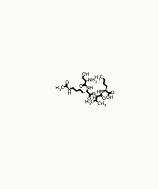 CCCC[C@H](NC(=O)[C@@H](NC(=O)[C@H](CCCCNC(C)=O)NC(=O)[C@@H](N)CO)C(C)C)C(=O)O